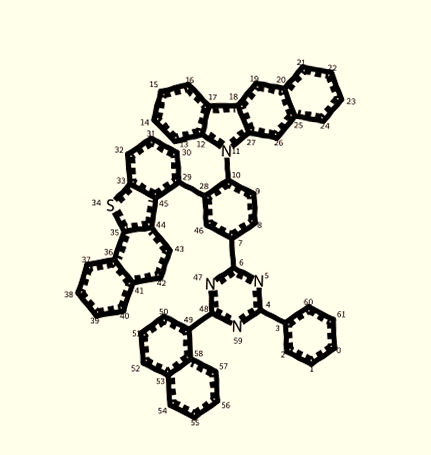 c1ccc(-c2nc(-c3ccc(-n4c5ccccc5c5cc6ccccc6cc54)c(-c4cccc5sc6c7ccccc7ccc6c45)c3)nc(-c3cccc4ccccc34)n2)cc1